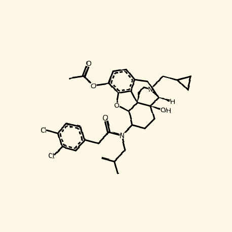 CC(=O)Oc1ccc2c3c1OC1C(N(CC(C)C)C(=O)Cc4ccc(Cl)c(Cl)c4)CC[C@@]4(O)[C@@H](C2)N(CC2CC2)CC[C@]314